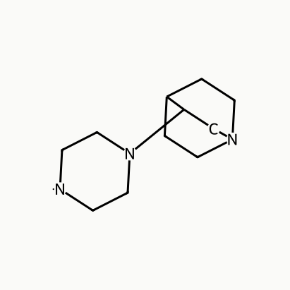 C1CN(C2CN3CCC2CC3)CC[N]1